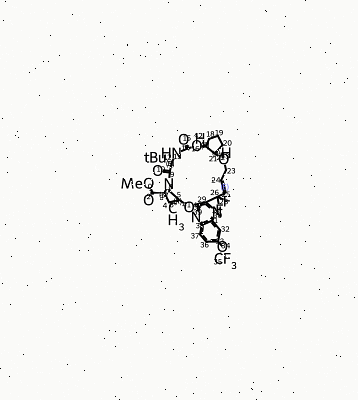 COC(=O)[C@@H]1C[C@]2(C)CN1C(=O)[C@H](C(C)(C)C)NC(=O)O[C@@H]1CCC[C@H]1OC/C=C/C(F)(F)c1nc3cc(OC(F)(F)F)ccc3nc1O2